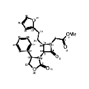 COC(=O)CN1C(=O)[C@@H](N2C(=O)OCC2c2ccccc2)[C@H]1CCc1ccco1